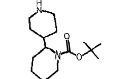 CC(C)(C)OC(=O)N1CCCCC1C1CCNCC1